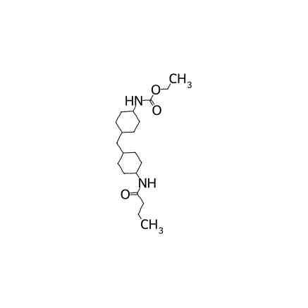 CCCC(=O)NC1CCC(CC2CCC(NC(=O)OCC)CC2)CC1